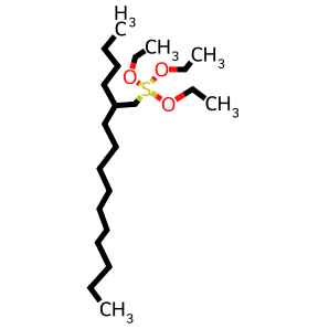 CCCCCCCCCCC(CCCC)CS(OCC)(OCC)OCC